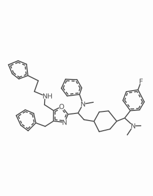 CN(C)C(c1ccc(F)cc1)C1CCC(CC(c2nc(Cc3ccccc3)c(CNCCc3ccccc3)o2)N(C)c2ccccc2)CC1